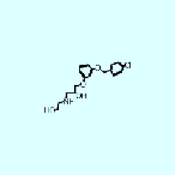 OCCNCC(O)COc1cccc(OCc2ccc(Cl)cc2)c1